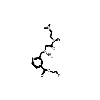 CCN(CCN(C)C)C(=O)CN(N)Cc1cc(C(=O)OCCF)ccn1